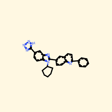 c1ccc(-c2ccc3cc(-c4nc5cc(-c6nnn[nH]6)ccc5n4C4CCCCC4)ccc3n2)cc1